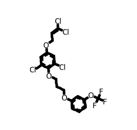 FC(F)(F)Oc1cccc(OCCCOc2c(Cl)cc(OCC=C(Cl)Cl)cc2Cl)c1